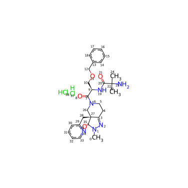 CN1N=C2CCN(C(=O)[C@@H](COCc3ccccc3)NC(=O)C(C)(C)N)C[C@@]2(Cc2ccccn2)C1=O.Cl.Cl